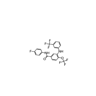 O=C(Nc1ccc(F)cc1)c1ccc(OC(F)(F)F)c(Nc2cccc(C(F)(F)F)c2)c1